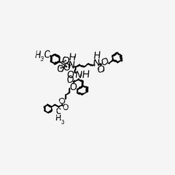 Cc1ccc(S(=O)(=O)ONC(CCCCNC(=O)OCc2ccccc2)C(=O)NC(Cc2ccccc2)C(=O)OCCCCOC(=O)C(C)Cc2ccccc2)cc1